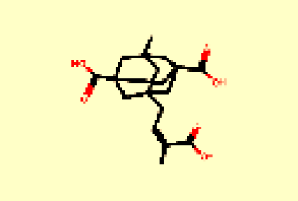 CC(=CCC12CC3(C)CC(C(=O)O)(C1)CC(C(=O)O)(C3)C2)C(=O)O